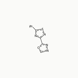 CC(C)c1nc(-c2nnco2)ns1